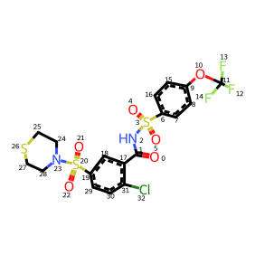 O=C(NS(=O)(=O)c1ccc(OC(F)(F)F)cc1)c1cc(S(=O)(=O)N2CCSCC2)ccc1Cl